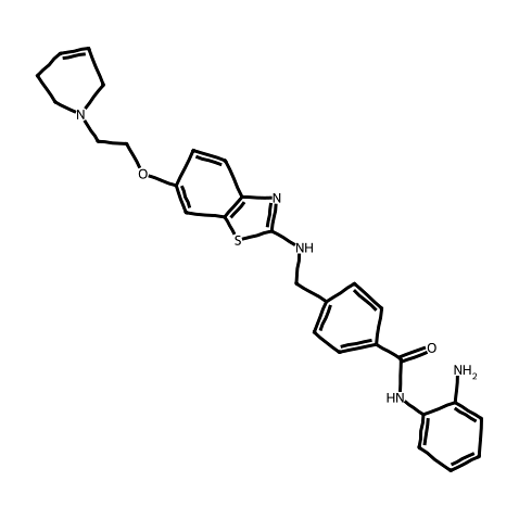 Nc1ccccc1NC(=O)c1ccc(CNc2nc3ccc(OCCN4CC=CCC4)cc3s2)cc1